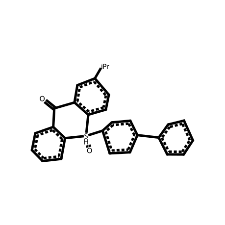 CC(C)c1ccc2c(c1)C(=O)c1ccccc1[SH]2(=O)c1ccc(-c2ccccc2)cc1